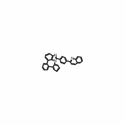 c1ccc2c(c1)-c1ccccc1-n1c(-c3ccc(-c4ccc5ccccc5n4)cc3)nc3cccc-2c31